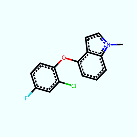 Cn1ccc2c(Oc3ccc(F)cc3Cl)cccc21